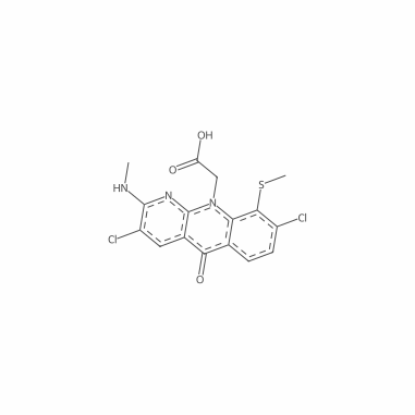 CNc1nc2c(cc1Cl)c(=O)c1ccc(Cl)c(SC)c1n2CC(=O)O